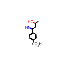 CC(O)CC(=N)c1ccc(C(=O)O)cc1